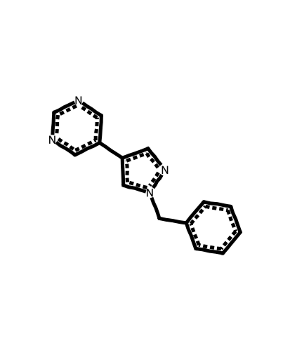 c1ccc(Cn2cc(-c3cncnc3)cn2)cc1